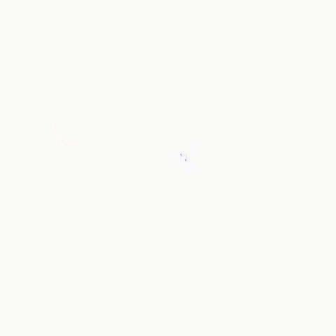 COC1=CCC([N+]2=Cc3ccccc3CC2)C=C1